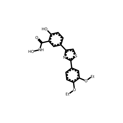 CCOc1ccc(-c2nc(-c3ccc(O)c(C(=O)NO)c3)cs2)cc1OCC